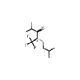 CC(C)CC[C@@H](C(=O)C(C)C)C(F)(F)F